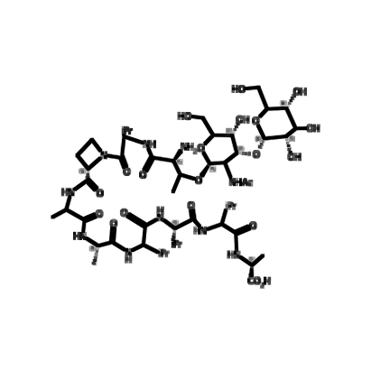 CC(=O)NC1[C@@H](OC(C)[C@H](N)C(=O)NC(C(=O)N2CC[C@H]2C(=O)NC(C)C(=O)N[C@@H](C)C(=O)NC(C(=O)N[C@H](C(=O)NC(C(=O)N[C@@H](C)C(=O)O)C(C)C)C(C)C)C(C)C)C(C)C)OC(CO)[C@H](O)[C@@H]1O[C@@H]1OC(CO)[C@H](O)C(O)[C@@H]1O